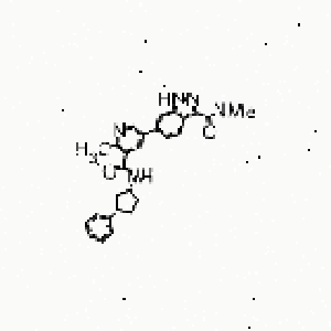 CNC(=O)c1n[nH]c2cc(-c3cnc(C)c(C(=O)N[C@H]4CC[C@@H](c5ccccc5)C4)c3)ccc12